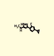 CNc1cc(-c2ccc(C3CC3)cc2F)n[nH]1